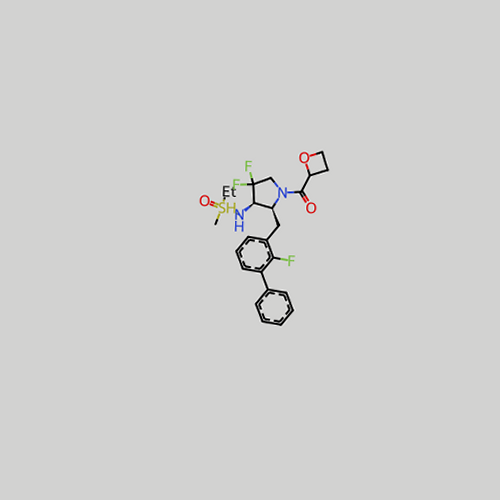 CC[SH](C)(=O)N[C@@H]1[C@H](Cc2cccc(-c3ccccc3)c2F)N(C(=O)C2CCO2)CC1(F)F